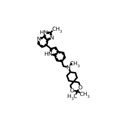 Cc1nc2c(-c3cc4ccc(CN(C)C5CCC6(CC5)COC(C)(C)OC6)cc4[nH]3)ccnc2[nH]1